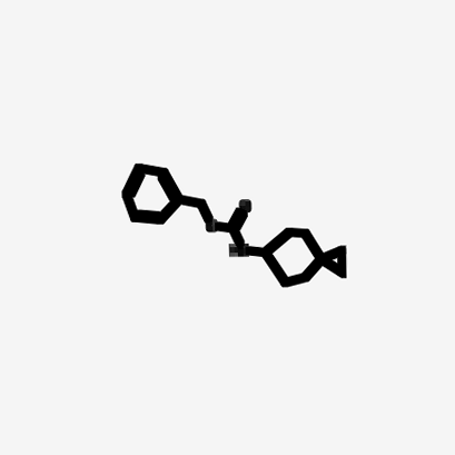 O=C(NC1CCC2(CC1)CC2)OCc1ccccc1